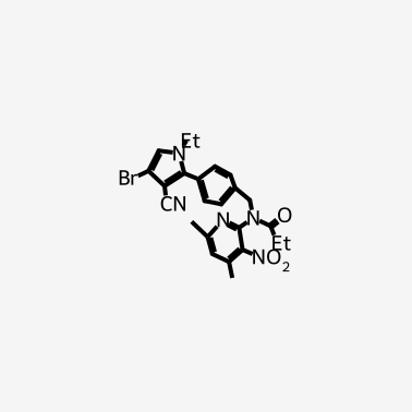 CCC(=O)N(Cc1ccc(-c2c(C#N)c(Br)cn2CC)cc1)c1nc(C)cc(C)c1[N+](=O)[O-]